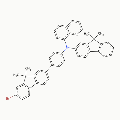 CC1(C)c2cc(Br)ccc2-c2ccc(-c3ccc(N(c4ccc5c(c4)C(C)(C)c4ccccc4-5)c4cccc5ccccc45)cc3)cc21